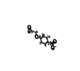 O=[N+]([O-])c1ccc(OCC2=CO2)cc1